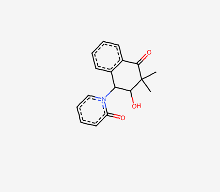 CC1(C)C(=O)c2ccccc2C(n2ccccc2=O)C1O